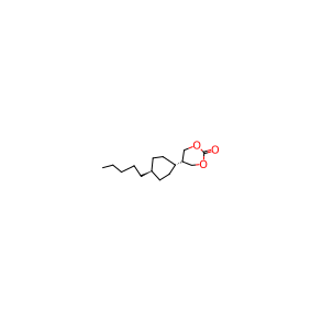 CCCCC[C@H]1CC[C@H](C2COC(=O)OC2)CC1